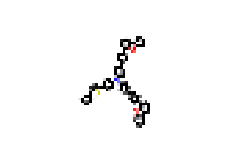 c1ccc(-c2ccc(-c3ccc(N(c4ccc(-c5ccc(-c6cccc7c6oc6ccccc67)cc5)cc4)c4ccc(-c5ccc(-c6cccc7c6oc6ccccc67)cc5)cc4)cc3)s2)cc1